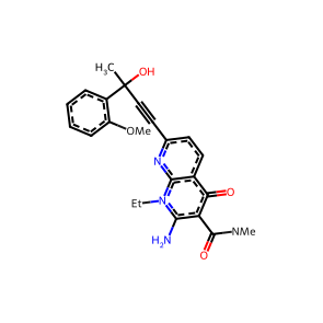 CCn1c(N)c(C(=O)NC)c(=O)c2ccc(C#CC(C)(O)c3ccccc3OC)nc21